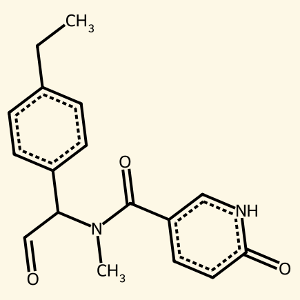 CCc1ccc(C(C=O)N(C)C(=O)c2ccc(=O)[nH]c2)cc1